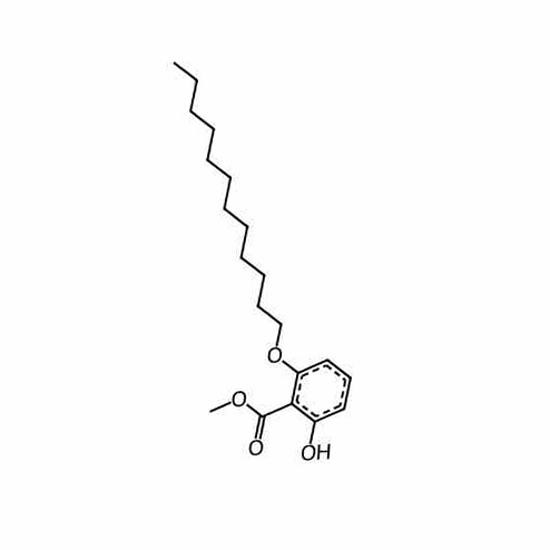 CCCCCCCCCCCCOc1cccc(O)c1C(=O)OC